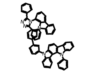 c1ccc(-c2nnc(-c3ccccc3)n2-c2cccc3c4ccccc4n(-c4cccc(-c5cccc(-n6c7ccccc7c7c6ccc6c8ccccc8n(-c8ccccc8)c67)c5)c4)c23)cc1